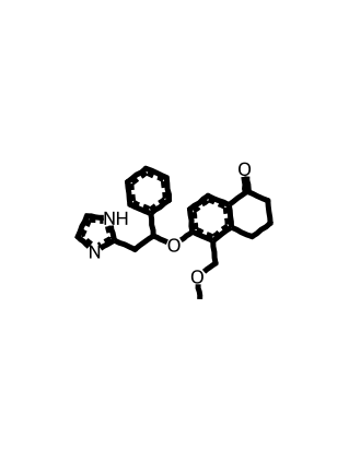 COCc1c(OC(Cc2ncc[nH]2)c2ccccc2)ccc2c1CCCC2=O